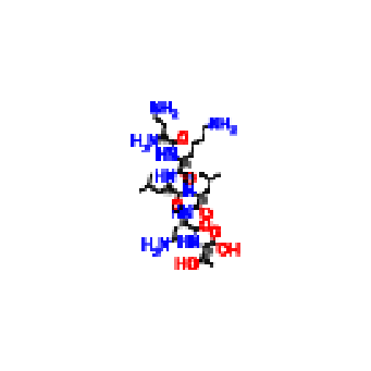 CC(C)C[C@H](NC(=O)[C@@H](CC(C)C)NC(=O)[C@H](CCCCN)NC(=O)[C@@H](N)CCN)C(=O)N[C@@H](CCN)C(=O)N[C@H](C(=O)O)[C@@H](C)O